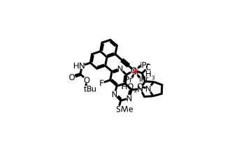 CSc1nc2c3c(nc(-c4cc(NC(=O)OC(C)(C)C)cc5cccc(C#C[Si](C(C)C)(C(C)C)C(C)C)c45)c(F)c3n1)OC(C)C1C3CCC(CN21)N3C(=O)O